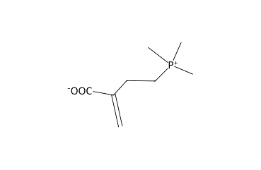 C=C(CC[P+](C)(C)C)C(=O)[O-]